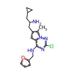 Cc1c(CC(N)CC2CC2)cc2c(NCc3ccco3)nc(Cl)nn12